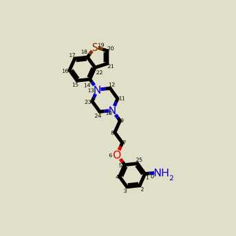 Nc1cccc(OCCCN2CCN(c3cccc4sccc34)CC2)c1